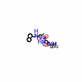 CC(CC(=O)NCc1cccc2ccccc12)NC(=O)C(CC(=O)NC(C)(C)C)NC(=O)O